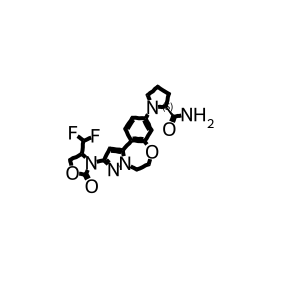 NC(=O)[C@@H]1CCCN1c1ccc2c(c1)OCCn1nc(N3C(=O)OCC3C(F)F)cc1-2